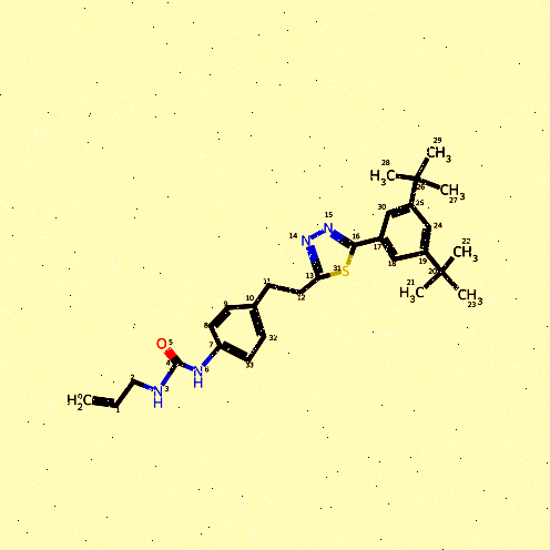 C=CCNC(=O)Nc1ccc(CCc2nnc(-c3cc(C(C)(C)C)cc(C(C)(C)C)c3)s2)cc1